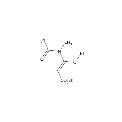 CCOC(=O)C=C(OCC)N(C)C(N)=O